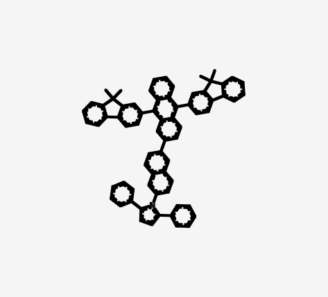 CC1(C)c2ccccc2-c2ccc(-c3c4ccccc4c(-c4ccc5c(c4)C(C)(C)c4ccccc4-5)c4cc(-c5ccc6cc(-n7c(-c8ccccc8)ccc7-c7ccccc7)ccc6c5)ccc34)cc21